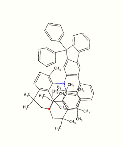 Cc1ccc2c(c1N(c1cc3c(cc1-c1cccc4c1C(C)(C)CCC4(C)C)-c1ccccc1C3(c1ccccc1)c1ccccc1)c1c(C)ccc3c1C(C)(C)CCC3(C)C)C(C)(C)CCC2(C)C